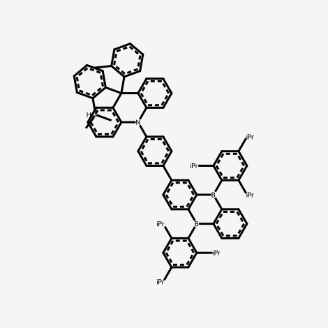 Cc1ccccc1C1(c2ccccc2[SiH](C)C)c2ccccc2N(c2ccc(-c3ccc4c(c3)B(c3c(C(C)C)cc(C(C)C)cc3C(C)C)c3ccccc3B4c3c(C(C)C)cc(C(C)C)cc3C(C)C)cc2)c2ccccc21